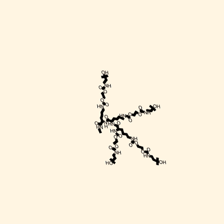 CCNC(=O)C(CCCCNC(=O)OCCOC(=O)NCCC(C)(C)O)NC(=O)C(CCCCNC(=O)OCCOC(=O)NCCC(C)(C)O)NC(=O)C(CCCCNC(=O)OCCOC(=O)NCCC(C)(C)O)NC(=O)OCCOC(=O)NCCC(C)(C)O